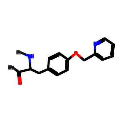 CC(C)NC(Cc1ccc(OCc2ccccn2)cc1)C(=O)C(C)C